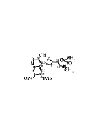 COc1cc2ncc(C#N)c(N3CC(CCN(C)S(N)(=O)=O)C3)c2cc1OC